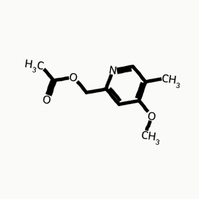 COc1cc(COC(C)=O)ncc1C